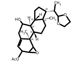 CC(=O)OC1C=C2CC(O)[C@H]3[C@@H]4CC[C@H](C(C)C5OCCO5)[C@@]4(C)CC[C@@H]3[C@@]2(C)C2OC12